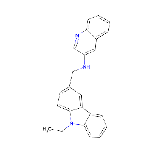 CCn1c2ccccc2c2cc(CNc3cnc4ccccc4c3)ccc21